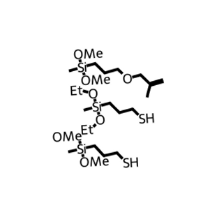 C=C(C)COCCC[Si](C)(OC)OC.CCO[Si](C)(CCCS)OCC.CO[Si](C)(CCCS)OC